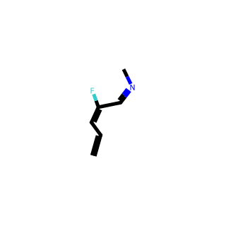 C=C/C=C(F)\C=N/C